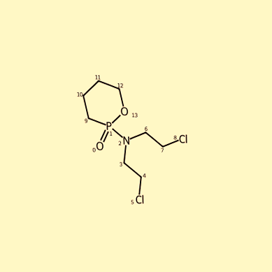 O=P1(N(CCCl)CCCl)CCCCO1